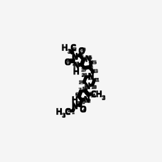 CCNC(=O)c1ccc(N2CCN(Cc3cnc4c(=O)n(CC)c(=O)[nH]c4c3)CC2)c(C)n1